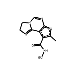 CCC(C)NC(=O)c1c(C)oc2c1C1=NCCN1C=N2